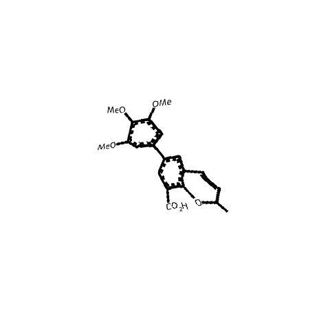 COc1cc(-c2cc3c(c(C(=O)O)c2)OC(C)C=C3)cc(OC)c1OC